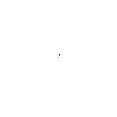 C1CCC([C@@H]2CCC[N]C2)CC1